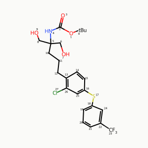 CC(C)(C)OC(=O)NC(CO)(CO)CCCc1ccc(Sc2cccc(C(F)(F)F)c2)cc1Cl